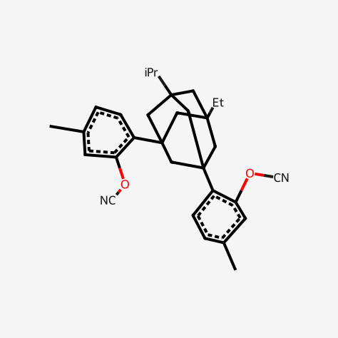 CCC12CC3(c4ccc(C)cc4OC#N)CC(c4ccc(C)cc4OC#N)(C1)CC(C(C)C)(C2)C3